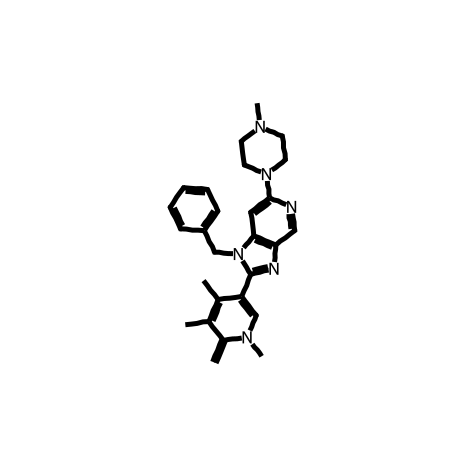 C=C1C(C)=C(C)C(c2nc3cnc(N4CCN(C)CC4)cc3n2Cc2ccccc2)=CN1C